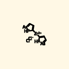 C1=[As]P[C]([Zr+2][C]2=CC=[As]P2)=C1.[Cl-].[Cl-]